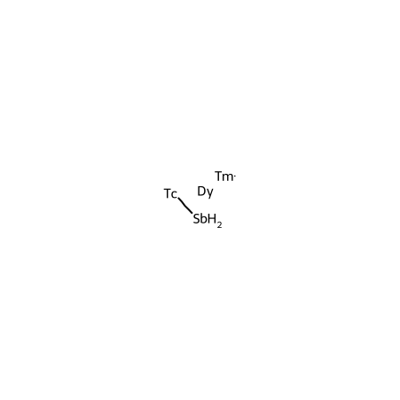 [Dy].[Tc][SbH2].[Tm]